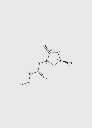 CCOC(=O)CN1C[C@H](O)CC1=O